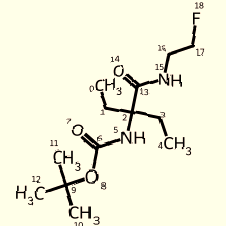 CCC(CC)(NC(=O)OC(C)(C)C)C(=O)NCCF